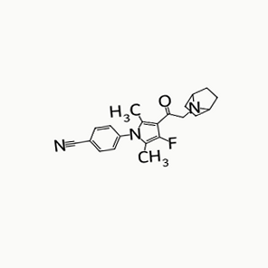 Cc1c(F)c(C(=O)CN2C3CCC2CC3)c(C)n1-c1ccc(C#N)cc1